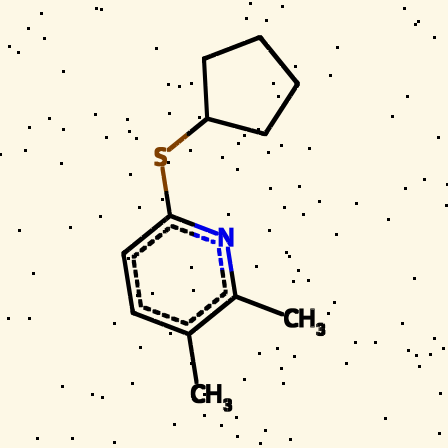 Cc1ccc(SC2CCCC2)nc1C